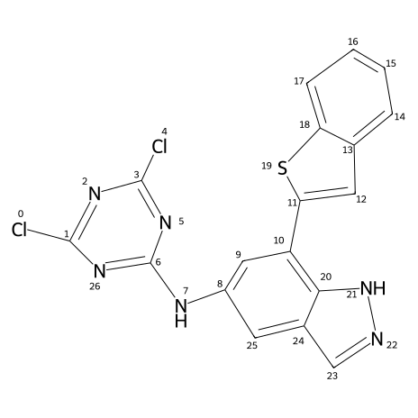 Clc1nc(Cl)nc(Nc2cc(-c3cc4ccccc4s3)c3[nH]ncc3c2)n1